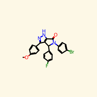 COc1ccc(-c2n[nH]c3c2C(c2ccc(F)cc2)N(c2ccc(Br)cc2)C3=O)cc1